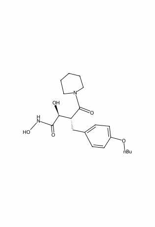 CCCCOc1ccc(C[C@@H](C(=O)N2CCCCC2)[C@H](O)C(=O)NO)cc1